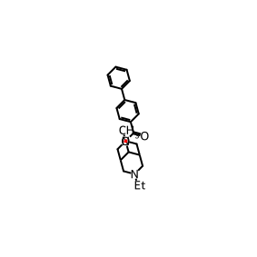 CCN1CC2CN(C)CC(C1)C2OC(=O)c1ccc(-c2ccccc2)cc1